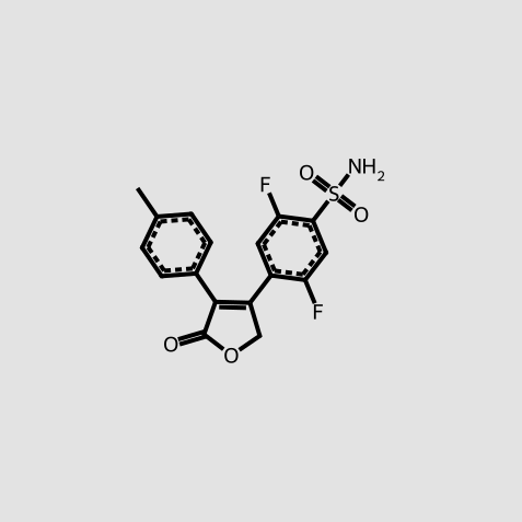 Cc1ccc(C2=C(c3cc(F)c(S(N)(=O)=O)cc3F)COC2=O)cc1